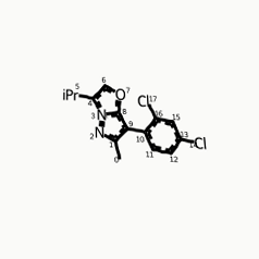 Cc1nn2c(C(C)C)coc2c1-c1ccc(Cl)cc1Cl